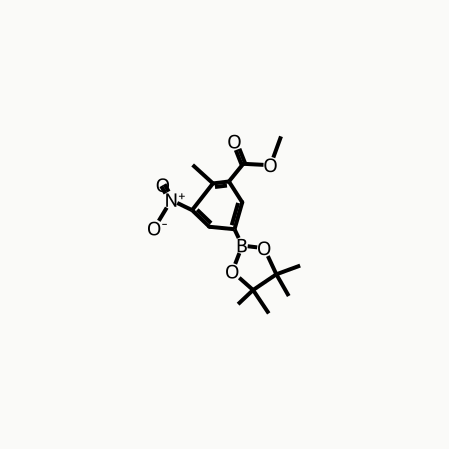 COC(=O)c1cc(B2OC(C)(C)C(C)(C)O2)cc([N+](=O)[O-])c1C